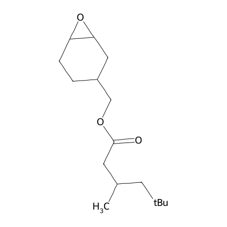 CC(CC(=O)OCC1CCC2OC2C1)CC(C)(C)C